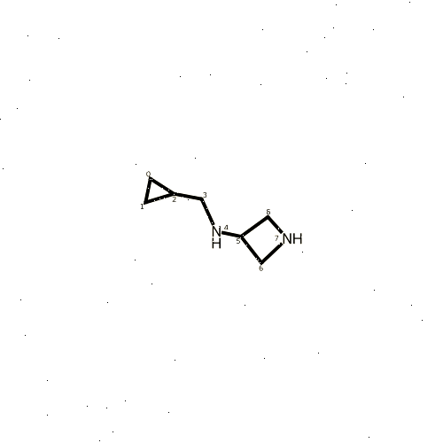 C1CC1CNC1CNC1